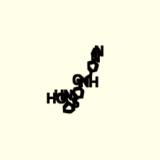 O=C(NCCc1ccc(-n2ccnc2)cc1)c1ccc2c(c1)NC(O)c1ccccc1S2